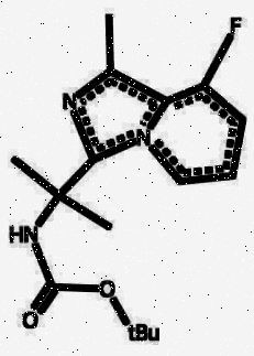 Cc1nc(C(C)(C)NC(=O)OC(C)(C)C)n2cccc(F)c12